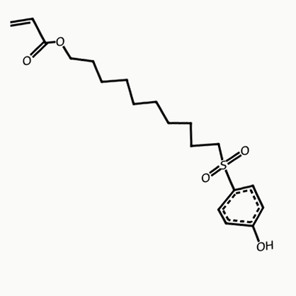 C=CC(=O)OCCCCCCCCCCS(=O)(=O)c1ccc(O)cc1